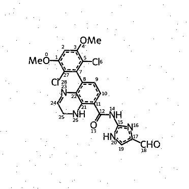 COc1cc(OC)c(Cl)c(-c2ccc(C(=O)Nc3nc(C=O)c[nH]3)c3c2N=CCN3)c1Cl